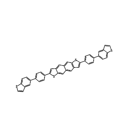 c1cc2cc(-c3ccc(-c4cc5cc6cc7sc(-c8ccc(-c9ccc%10sccc%10c9)cc8)cc7cc6cc5s4)cc3)ccc2s1